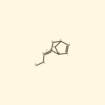 CC/C=C1/CC2C=CC1C2